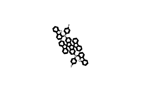 Fc1ccc(N(c2ccc3c(c2)C2(C4=C3C3(c5cc(N(c6ccc(F)cc6)c6cccc7c6oc6ccccc67)ccc54)c4ccccc4-c4ccccc43)c3ccccc3-c3ccccc32)c2cccc3c2oc2ccccc23)cc1